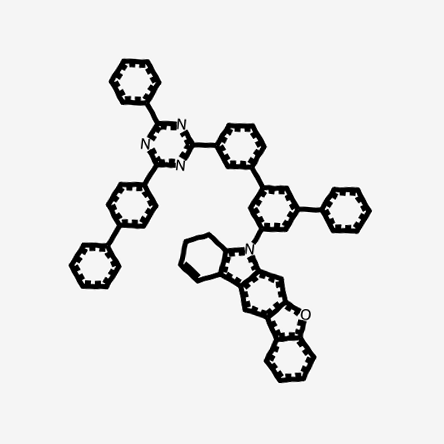 C1=Cc2c(n(-c3cc(-c4ccccc4)cc(-c4cccc(-c5nc(-c6ccccc6)nc(-c6ccc(-c7ccccc7)cc6)n5)c4)c3)c3cc4oc5ccccc5c4cc23)CC1